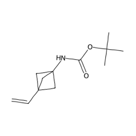 C=CC12CC(NC(=O)OC(C)(C)C)(C1)C2